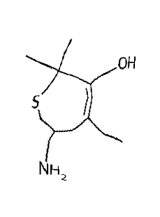 CC1=C(O)C(C)(C)SC1N